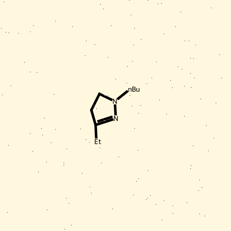 CCCCN1CCC(CC)=N1